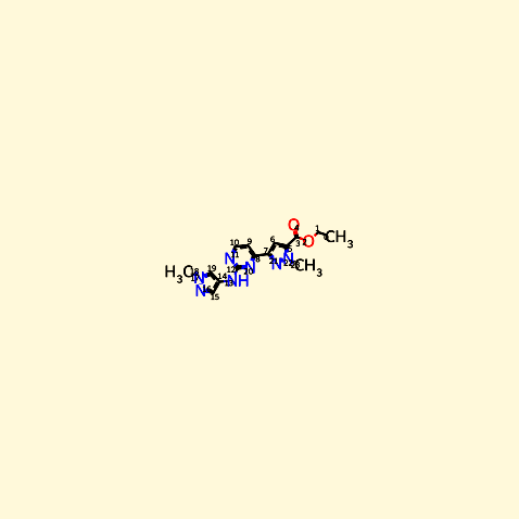 CCOC(=O)c1cc(-c2ccnc(Nc3cnn(C)c3)n2)nn1C